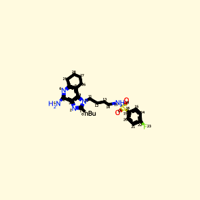 CCCCc1nc2c(N)nc3c(c2n1CCCCNS(=O)(=O)c1ccc(F)cc1)CCCC3